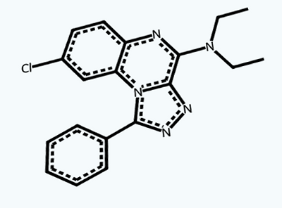 CCN(CC)c1nc2ccc(Cl)cc2n2c(-c3ccccc3)nnc12